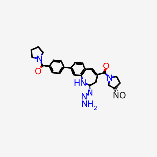 NN=NC1CC(C(=O)N2CC[C@@H](N=O)C2)=Cc2ccc(-c3ccc(C(=O)N4CCCC4)cc3)cc2N1